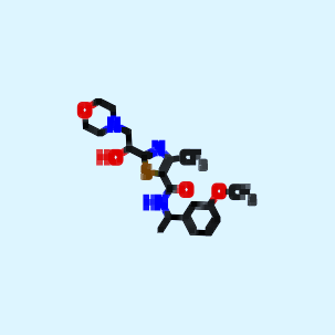 CC(NC(=O)c1sc(C(O)CN2CCOCC2)nc1C(F)(F)F)c1cccc(OC(F)(F)F)c1